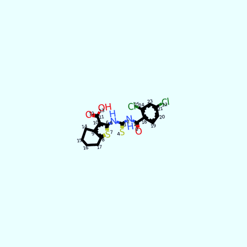 O=C(NC(=S)Nc1sc2c(c1C(=O)O)CCCC2)c1ccc(Cl)cc1Cl